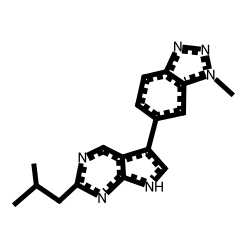 CC(C)Cc1ncc2c(-c3ccc4nnn(C)c4c3)c[nH]c2n1